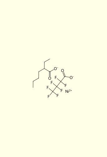 CCCCC(CC)C(=O)[O-].O=C([O-])C(F)(F)C(F)(F)C(F)(F)F.[Ni+2]